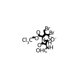 O=CNC1C(=O)N2C(C(=O)OCC(Cl)(Cl)Cl)=C(CBr)C(Br)[S+]([O-])[C@H]12